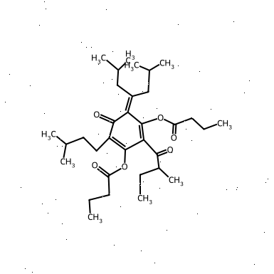 CCCC(=O)OC1=C(CCC(C)C)C(=O)C(=C(CC(C)C)CC(C)C)C(OC(=O)CCC)=C1C(=O)C(C)CC